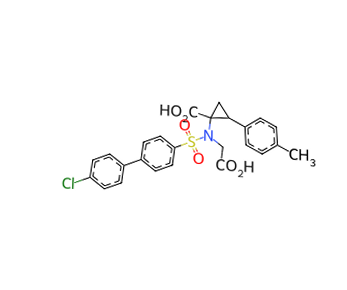 Cc1ccc(C2CC2(C(=O)O)N(CC(=O)O)S(=O)(=O)c2ccc(-c3ccc(Cl)cc3)cc2)cc1